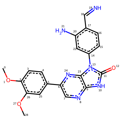 COc1ccc(-c2cnc3[nH]c(=O)n(-c4ccc(C=N)c(N)c4)c3n2)cc1OC